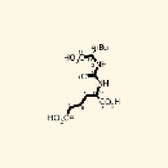 CCCC[C@H](NC(=O)N[C@H](CCCC(=O)O)C(=O)O)C(=O)O